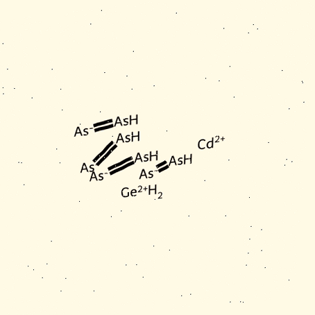 [As-]=[AsH].[As-]=[AsH].[As-]=[AsH].[As-]=[AsH].[Cd+2].[GeH2+2]